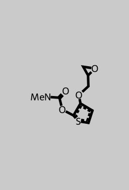 CNC(=O)Oc1sccc1OCC1CO1